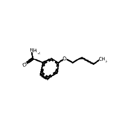 CCCCOc1c[c]cc(C(N)=O)c1